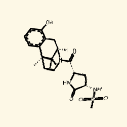 CC1(C)[C@H]2Cc3c(O)cccc3[C@]1(C)CCN2C(=O)[C@@H]1C[C@H](NS(C)(=O)=O)C(=O)N1